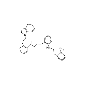 Nc1ccccc1CCNc1ccccc1CCCNC1=C(CCN2CCC3=C2C=CCC3)CCC=C1